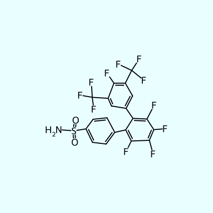 NS(=O)(=O)c1ccc(-c2c(F)c(F)c(F)c(F)c2-c2cc(C(F)(F)F)c(F)c(C(F)(F)F)c2)cc1